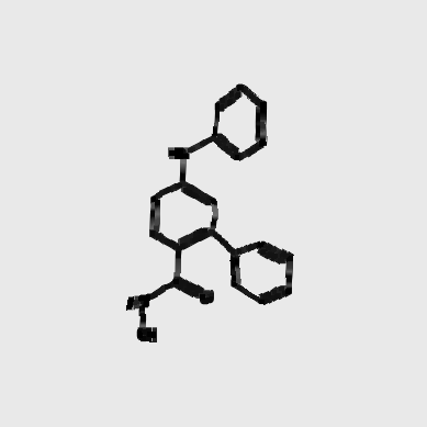 O=C(NO)c1ccc(Nc2ccccc2)cc1-c1ccccc1